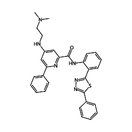 CN(C)CCNc1cc(C(=O)Nc2ccccc2-c2nnc(-c3ccccc3)s2)nc(-c2ccccc2)c1